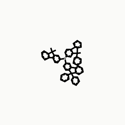 CC1(C)c2ccccc2-c2ccc(N(c3ccc4c(c3)-c3ccccc3C4(c3ccccc3)c3ccccc3)c3ccc4c(c3)C(C)(c3ccccc3)c3ccccc3-4)cc21